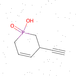 C#CC1C=CCP(=O)(O)C1